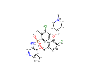 Cc1c(Cl)cccc1S(=O)(=O)Nc1cnc2c(c1OCc1ccc(Cl)c(OCC3CCN(C)CC3)c1)CCC2